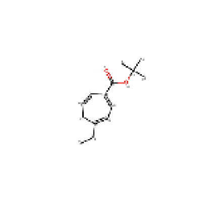 CCC1=CC=C(C(=O)OC(C)(C)C)C=CC1